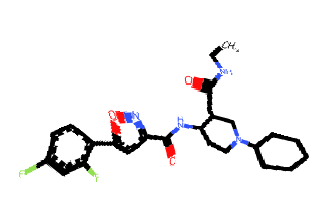 CCNC(=O)C1CN(C2CCCCC2)CCC1NC(=O)c1cc(-c2ccc(F)cc2F)on1